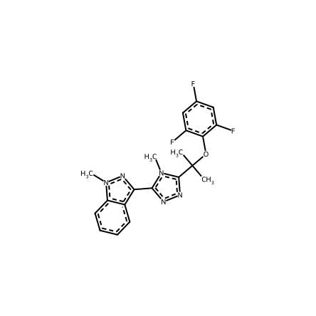 Cn1c(-c2nn(C)c3ccccc23)nnc1C(C)(C)Oc1c(F)cc(F)cc1F